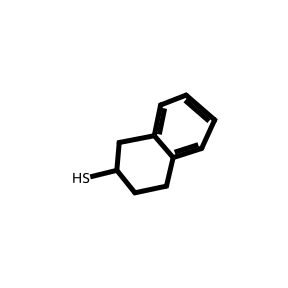 SC1CCc2ccccc2C1